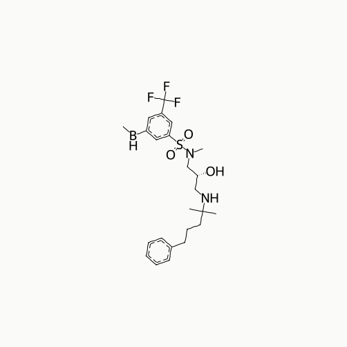 CBc1cc(C(F)(F)F)cc(S(=O)(=O)N(C)C[C@H](O)CNC(C)(C)CCCc2ccccc2)c1